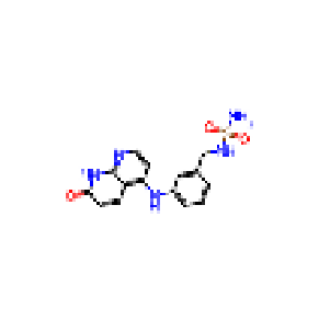 NS(=O)(=O)NCc1cccc(Nc2ccnc3[nH]c(=O)ccc23)c1